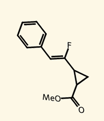 COC(=O)C1CC1/C(F)=C/c1ccccc1